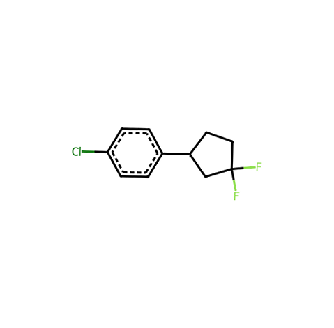 FC1(F)CC[C](c2ccc(Cl)cc2)C1